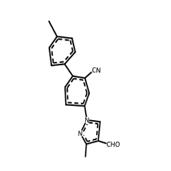 Cc1ccc(-c2ccc(-n3cc(C=O)c(C)n3)cc2C#N)cc1